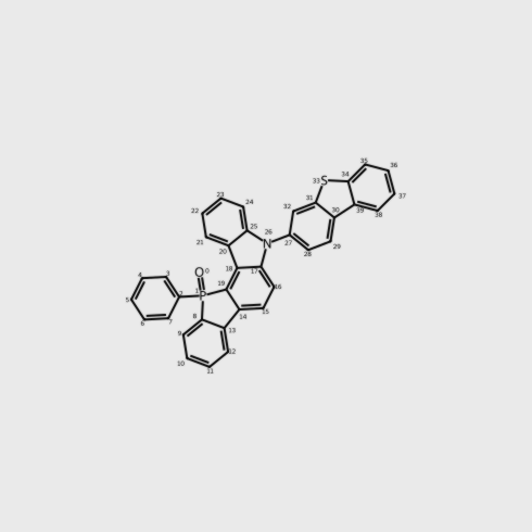 O=P1(c2ccccc2)c2ccccc2-c2ccc3c(c21)c1ccccc1n3-c1ccc2c(c1)sc1ccccc12